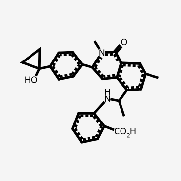 Cc1cc(C(C)Nc2ccccc2C(=O)O)c2cc(-c3ccc(C4(O)CC4)cc3)n(C)c(=O)c2c1